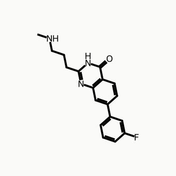 CNCCCc1nc2cc(-c3cccc(F)c3)ccc2c(=O)[nH]1